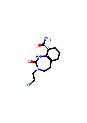 NC(=O)[C@@H]1CCCC2=C1NC(=O)N(CCCl)CC2